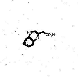 O=C(O)CC1=CNc2ccccc2O1